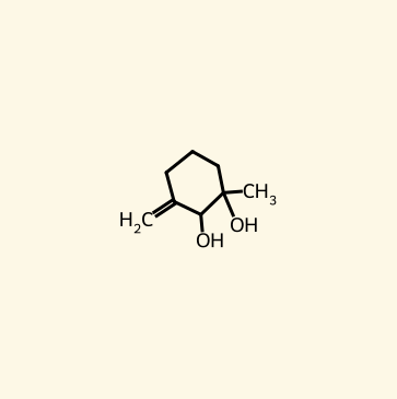 C=C1CCCC(C)(O)C1O